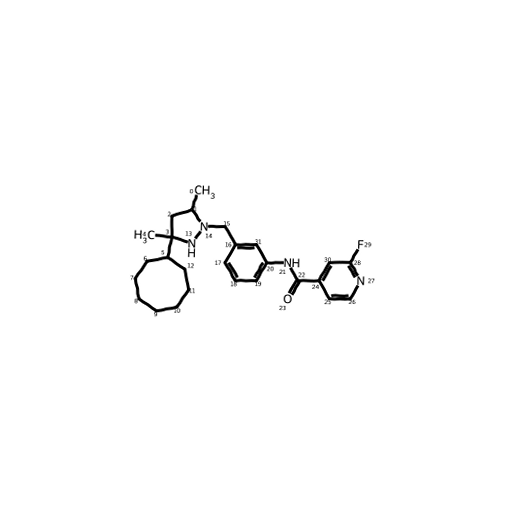 CC1CC(C)(C2CCCCCCC2)NN1Cc1cccc(NC(=O)c2ccnc(F)c2)c1